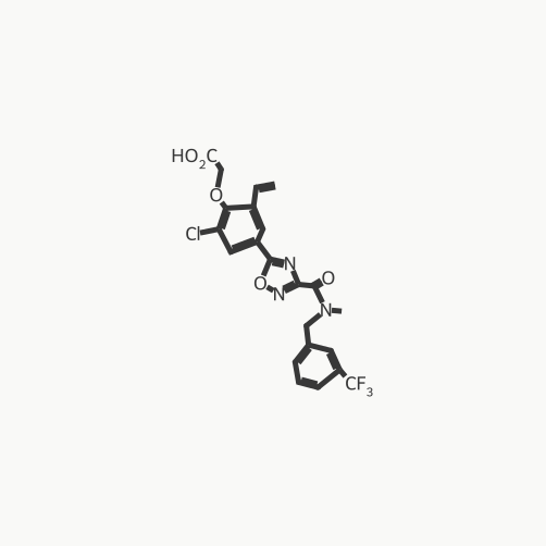 C=Cc1cc(-c2nc(C(=O)N(C)Cc3cccc(C(F)(F)F)c3)no2)cc(Cl)c1OCC(=O)O